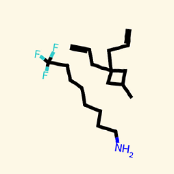 C=CCC1(CC=C)CC(C)C1.NCCCCCCCC(F)(F)F